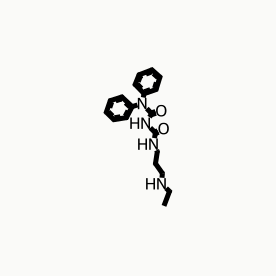 CCNCCCNC(=O)NC(=O)N(c1ccccc1)c1ccccc1